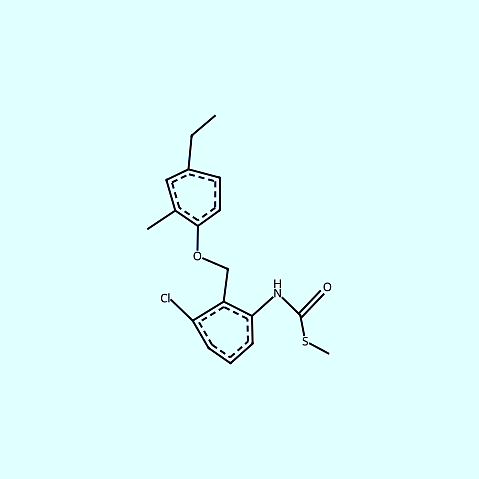 CCc1ccc(OCc2c(Cl)cccc2NC(=O)SC)c(C)c1